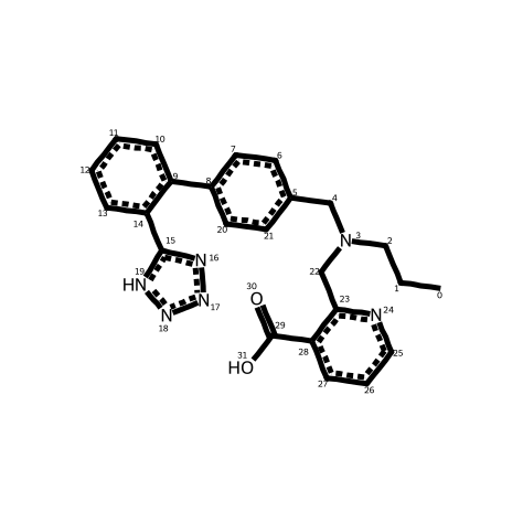 CCCN(Cc1ccc(-c2ccccc2-c2nnn[nH]2)cc1)Cc1ncccc1C(=O)O